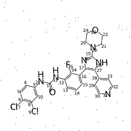 O=C(Nc1ccc(Cl)c(Cl)c1)Nc1cccc(-c2nc(N3CCOCC3)[nH]c2-c2ccncc2)c1F